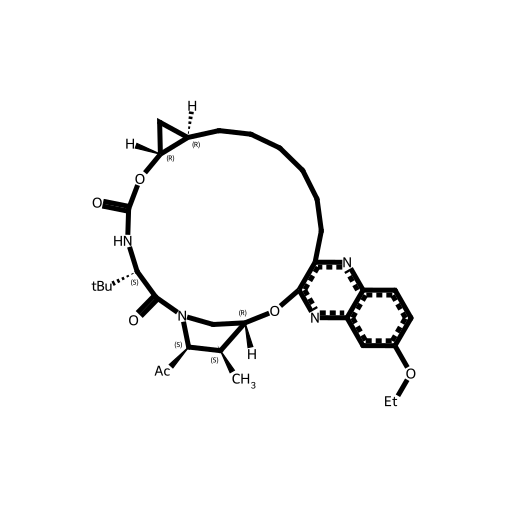 CCOc1ccc2nc3c(nc2c1)O[C@H]1CN(C(=O)[C@H](C(C)(C)C)NC(=O)O[C@@H]2C[C@H]2CCCCCC3)[C@H](C(C)=O)[C@@H]1C